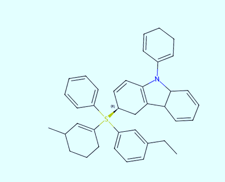 CCc1cccc(S(C2=CC(C)CCC2)(c2ccccc2)[C@H]2C=CC3=C(C2)C2C=CC=CC2N3C2=CCCC=C2)c1